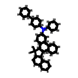 CC1(C)c2ccc3ccccc3c2-c2c1c1ccc(N(c3ccccc3)c3ccc(-c4ccccc4)cc3)cc1c1ccccc21